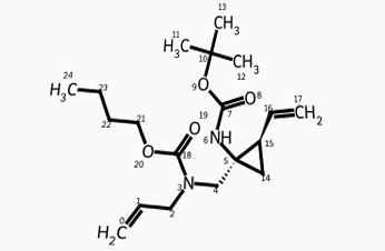 C=CCN(C[C@@]1(NC(=O)OC(C)(C)C)C[C@@H]1C=C)C(=O)OCCCC